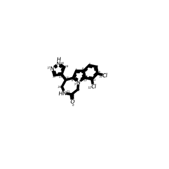 O=C1Cn2c(cc3ccc(Cl)c(Cl)c32)C(c2cn[nH]c2)CN1